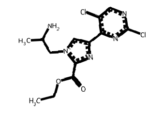 CCOC(=O)c1nc(-c2nc(Cl)ncc2Cl)cn1CC(C)N